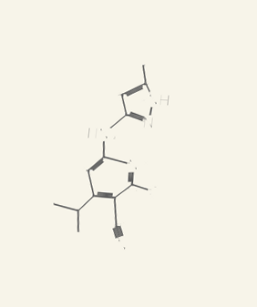 Cc1cc(Nc2cc(C(C)C)c(C#N)c(Cl)n2)n[nH]1